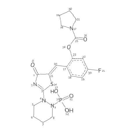 O=C1N=C(N2CCCCN2P(=O)(O)O)S/C1=C\c1ccc(F)cc1OC(=O)N1CCCC1